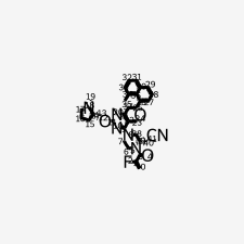 C=C(F)C(=O)N1CCN(c2nc(OC[C@@H]3CCCN3C)nc3c2COC(c2cccc4cccc(C)c24)C3)C[C@@H]1CC#N